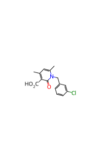 Cc1cc(C)n(Cc2cccc(Cl)c2)c(=O)c1C(=O)O